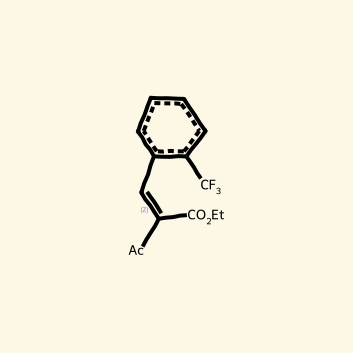 CCOC(=O)/C(=C\c1ccccc1C(F)(F)F)C(C)=O